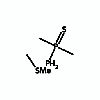 CP(C)(P)=S.CSC